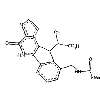 CNC(=O)NCc1cccc2c1C(C(O)C(=O)O)c1c-2[nH]c(=O)c2nccn12